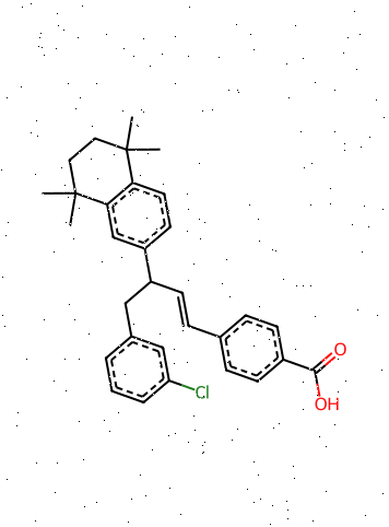 CC1(C)CCC(C)(C)c2cc(C(/C=C/c3ccc(C(=O)O)cc3)Cc3cccc(Cl)c3)ccc21